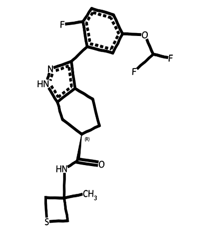 CC1(NC(=O)[C@@H]2CCc3c(-c4cc(OC(F)F)ccc4F)n[nH]c3C2)CSC1